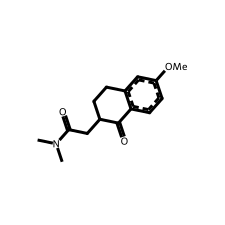 COc1ccc2c(c1)CCC(CC(=O)N(C)C)C2=O